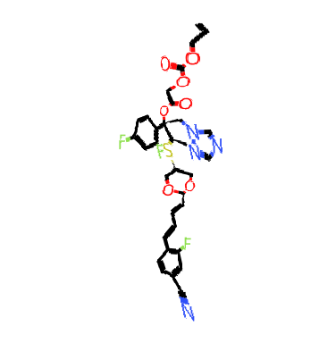 C=CCOC(=O)OCC(=O)O[C@@](Cn1cncn1)(c1ccc(F)cc1F)[C@@H](C)S[C@H]1CO[C@H](/C=C/C=C/c2ccc(C#N)cc2F)OC1